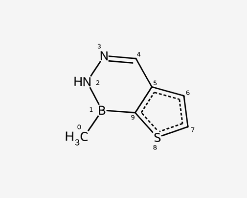 CB1NN=Cc2ccsc21